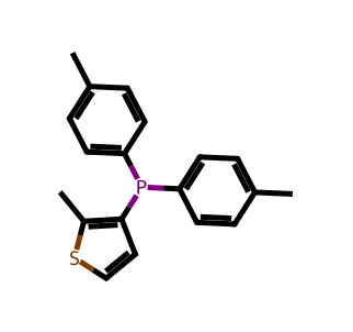 Cc1ccc(P(c2ccc(C)cc2)c2ccsc2C)cc1